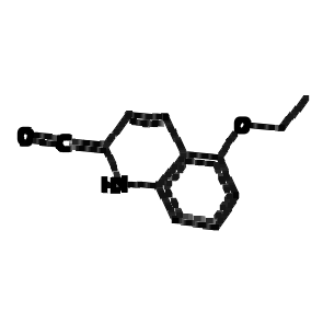 CCOc1cccc2c1C=CC(=C=O)N2